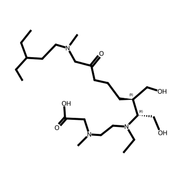 CCC(CC)CCN(C)CC(=O)CCC[C@@H](CO)[C@H](CO)N(CC)CCN(C)CC(=O)O